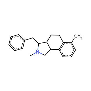 CN1CC2c3cccc(C(F)(F)F)c3CCC2C1Cc1ccccc1